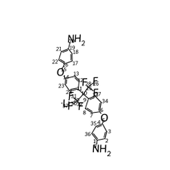 Nc1ccc(Oc2ccc(C(c3ccc(Oc4ccc(N)cc4)cc3)(C(F)(F)F)C(F)(F)F)cc2)cc1.[Li]